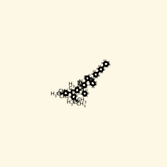 CC(=C(c1ccc(C(C)(C)C)cc1)c1ccc(C(C)(C)C)cc1)c1ccc(N(c2ccccc2)c2ccc(-c3cccc4c3c3ccccc3n4-c3ccc(-c4ccc(-c5ccccc5)cc4)cc3)c3nsnc23)cc1